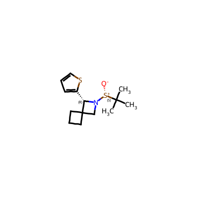 CC(C)(C)[S@@+]([O-])N1CC2(CCC2)[C@@H]1c1cccs1